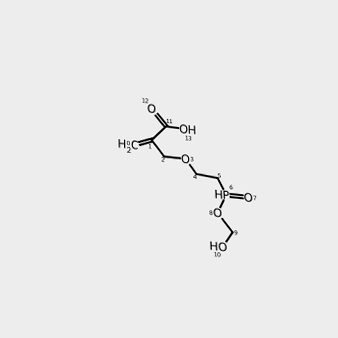 C=C(COCC[PH](=O)OCO)C(=O)O